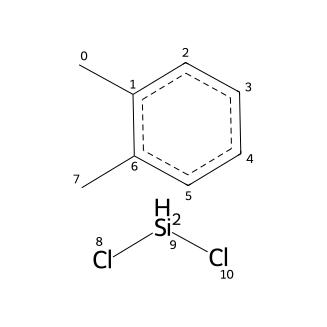 Cc1ccccc1C.Cl[SiH2]Cl